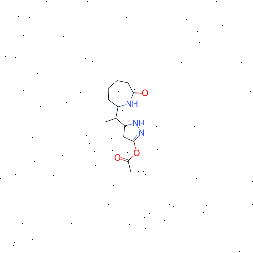 CC(=O)OC1=NNC(C(C)C2CCCCC(=O)N2)C1